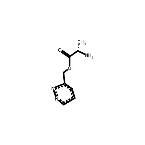 C[C@H](N)C(=O)OCc1cccnn1